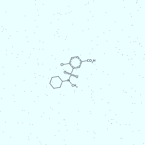 CN(C1CCCCC1)S(=O)(=O)c1cc(C(=O)O)ccc1Cl